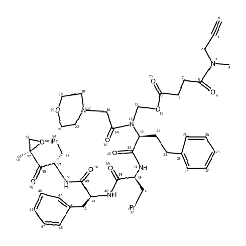 C#CCN(C)C(=O)CCC(=O)OCN(C(=O)CN1CCOCC1)[C@@H](CCc1ccccc1)C(=O)N[C@@H](CC(C)C)C(=O)N[C@@H](Cc1ccccc1)C(=O)N[C@@H](CC(C)C)C(=O)[C@@]1(C)CO1